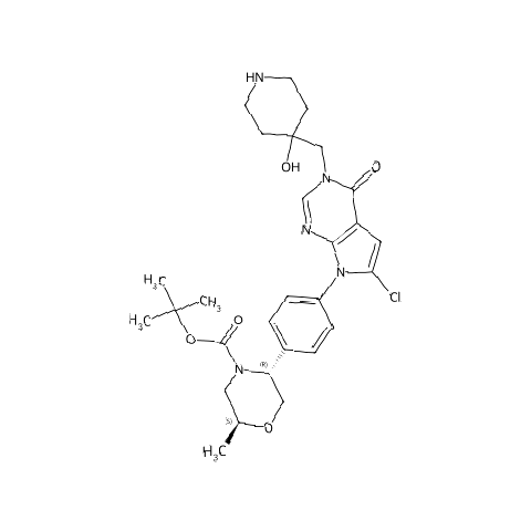 C[C@H]1CN(C(=O)OC(C)(C)C)[C@H](c2ccc(-n3c(Cl)cc4c(=O)n(CC5(O)CCNCC5)cnc43)cc2)CO1